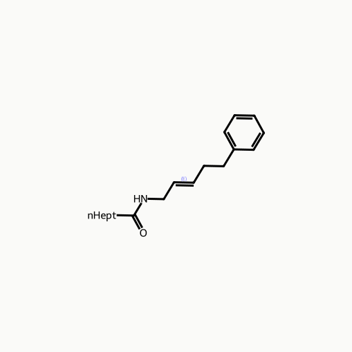 CCCCCCCC(=O)NC/C=C/CCc1ccccc1